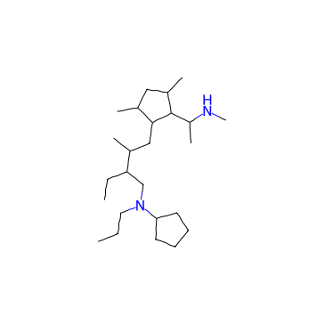 CCCN(CC(CC)C(C)CC1C(C)CC(C)C1C(C)NC)C1CCCC1